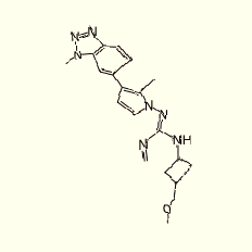 C=N/C(=N\n1ccc(-c2ccc3nnn(C)c3c2)c1C)NC1CC(COC)C1